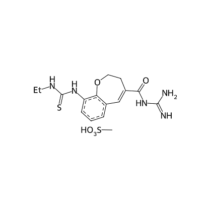 CCNC(=S)Nc1cccc2c1OCCC(C(=O)NC(=N)N)=C2.CS(=O)(=O)O